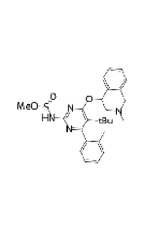 COS(=O)Nc1nc(OC2CN(C)Cc3ccccc32)c(C(C)(C)C)c(-c2ccccc2C)n1